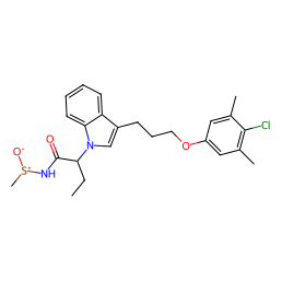 CCC(C(=O)N[S+](C)[O-])n1cc(CCCOc2cc(C)c(Cl)c(C)c2)c2ccccc21